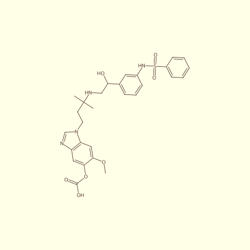 COc1cc2c(cc1OC(=O)O)ncn2CCC(C)(C)NCC(O)c1cccc(NS(=O)(=O)c2ccccc2)c1